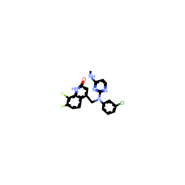 CNc1ccnc(N(Cc2cc(=O)[nH]c3c(F)c(F)ccc23)c2cccc(Cl)c2)n1